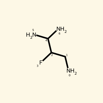 NCC(F)C(N)N